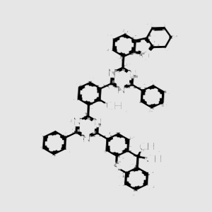 Cc1c(-c2nc(-c3ccccc3)nc(-c3ccc4c(c3)Sc3ccccc3C4(C)C)n2)cccc1-c1nc(-c2ccccc2)nc(-c2cccc3c4c(oc23)CCC=C4)n1